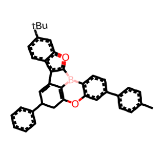 Cc1ccc(-c2ccc3c(c2)OC2=C4B3c3oc5cc(C(C)(C)C)ccc5c3C4=CC(c3ccccc3)C2)cc1